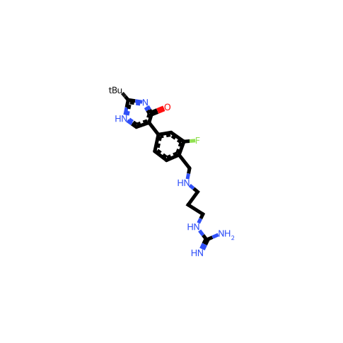 CC(C)(C)c1nc(=O)c(-c2ccc(CNCCCNC(=N)N)c(F)c2)c[nH]1